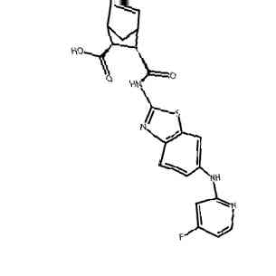 O=C(Nc1nc2ccc(Nc3cc(F)ccn3)cc2s1)[C@@H]1C2C=CC(C2)[C@@H]1C(=O)O